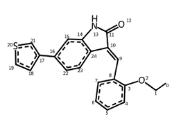 CCOc1ccccc1/C=C1/C(=O)Nc2cc(-c3ccsc3)ccc21